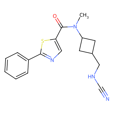 CN(C(=O)c1cnc(-c2ccccc2)s1)C1CC(CNC#N)C1